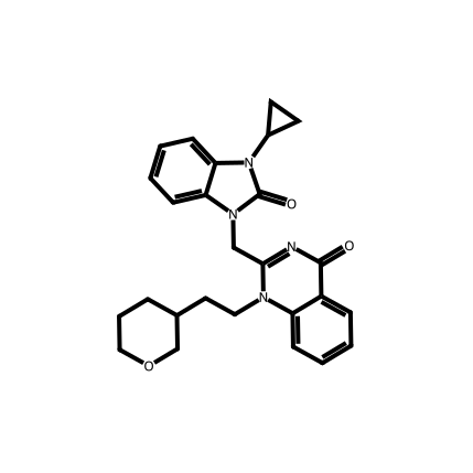 O=c1nc(Cn2c(=O)n(C3CC3)c3ccccc32)n(CCC2CCCOC2)c2ccccc12